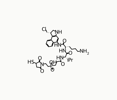 CC(C)[C@H](NC(=O)CCP(=O)(O)CCN1C(=O)CC(S)C1=O)C(=O)N[C@@H](CCCCN)C(=O)Nc1cc2c(c3ccccc13)[C@H](CCl)CN2